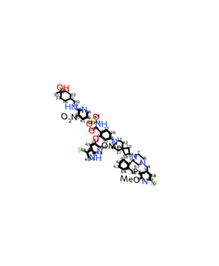 COc1cc(CN2CCN(C3CC4(CCN(c5ccc(C(=O)NS(=O)(=O)c6cnc(NCC7CCC(C)(O)CC7)c([N+](=O)[O-])c6)c(Oc6cc7c(F)c[nH]c7nc6OC)c5)CC4)C3)[C@H](c3ccccc3C(C)C)C2)cc(F)n1